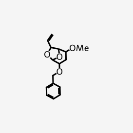 C=CC1OC2OC1C(OC)CC2OCc1ccccc1